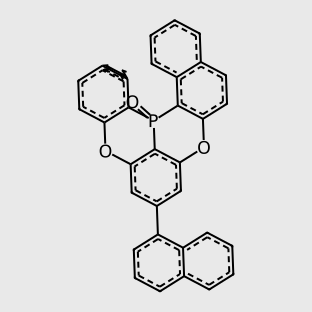 O=P12c3c(cc(-c4cccc5ccccc45)cc3Oc3ccc4ccccc4c31)Oc1ccc3ccccc3c12